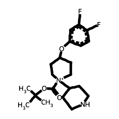 CC(C)(C)OC(=O)[N+]1(C2CCNCC2)CCC(Oc2ccc(F)c(F)c2)CC1